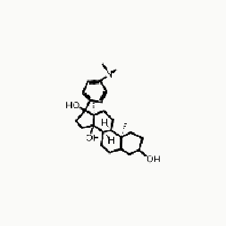 CN(C)c1ccc(C2(O)CC[C@@]3(O)[C@@H]4CCC5CC(O)CC[C@]5(C)[C@@H]4CC[C@]23C)cc1